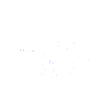 CCOC(C#N)(OCC)[C@]1(N[S@@+]([O-])C(C)(C)C)c2cc(Br)ccc2C[C@@]12C[C@@H](C)[C@H](OC)[C@@H](C)C2